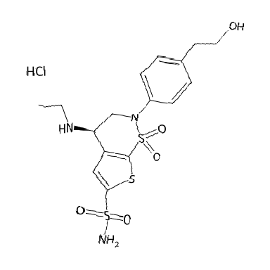 CCN[C@H]1CN(c2ccc(CCO)cc2)S(=O)(=O)c2sc(S(N)(=O)=O)cc21.Cl